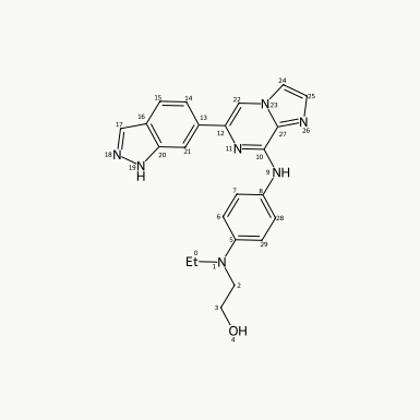 CCN(CCO)c1ccc(Nc2nc(-c3ccc4cn[nH]c4c3)cn3ccnc23)cc1